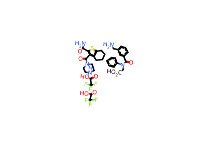 NC(=O)c1sc2c(c1C(=O)N1CCNCC1)CCCC2.NCc1cccc(C(=O)N(CC(=O)O)c2ccccc2)c1.O=C(O)C(F)(F)F.O=C(O)C(F)(F)F